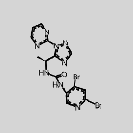 C[C@H](NC(=O)Nc1cnc(Br)cc1Br)c1ncnn1-c1ncccn1